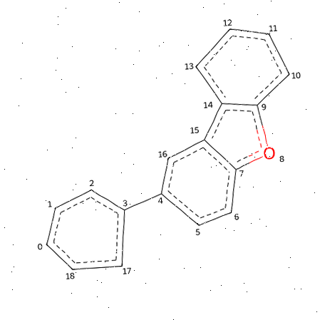 c1ccc(-c2ccc3oc4ccccc4c3c2)cc1